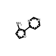 Nc1ccoc1-c1ccncn1